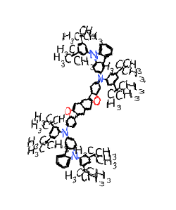 CC(C)(C)c1cc(N(c2ccc3c(c2)oc2cc4cc5c(cc4cc23)oc2cc(N(c3cc(C(C)(C)C)cc(C(C)(C)C)c3)c3ccc4c(c3)c3ccccc3n4-c3cc(C(C)(C)C)cc(C(C)(C)C)c3)ccc25)c2ccc3c(c2)c2ccccc2n3-c2cc(C(C)(C)C)cc(C(C)(C)C)c2)cc(C(C)(C)C)c1